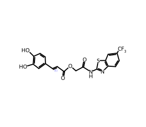 O=C(COC(=O)/C=C/c1ccc(O)c(O)c1)Nc1nc2ccc(C(F)(F)F)cc2s1